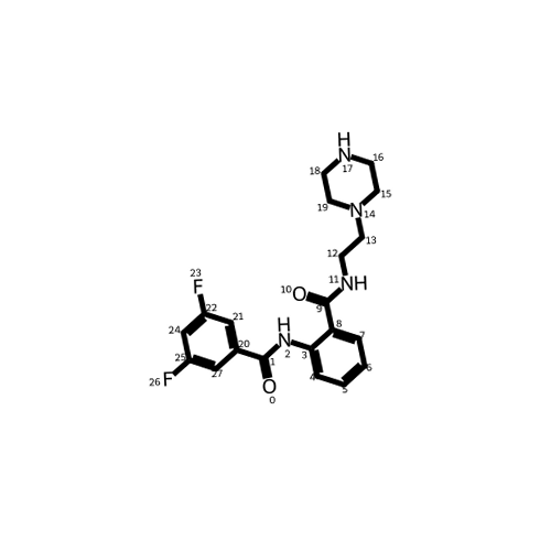 O=C(Nc1ccccc1C(=O)NCCN1CCNCC1)c1cc(F)cc(F)c1